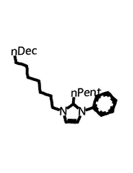 CCCCCCCCCCCCCCCCCN1C=CN(c2ccccc2)C1CCCCC